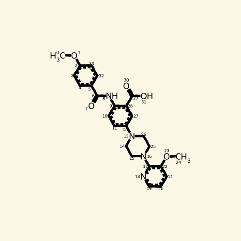 COc1ccc(C(=O)Nc2ccc(N3CCN(c4ncccc4OC)CC3)cc2C(=O)O)cc1